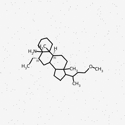 CC[C@H]1CC2C3CCC(C(C)CCOC)C3(C)CC[C@@H]2C2(C)CCCCC12N